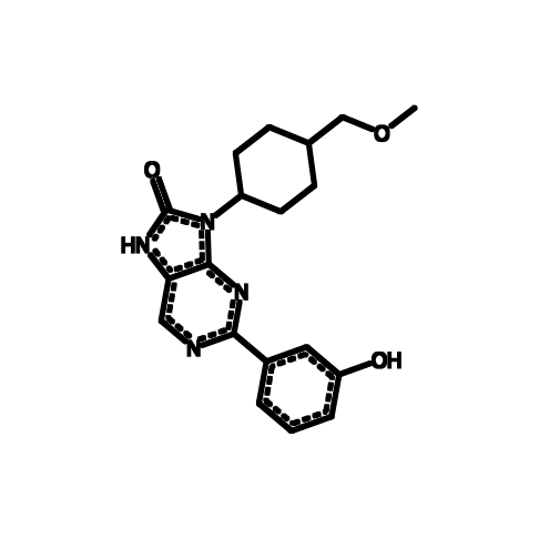 COCC1CCC(n2c(=O)[nH]c3cnc(-c4cccc(O)c4)nc32)CC1